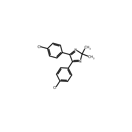 CC1(C)N=C(c2ccc(Cl)cc2)C(c2ccc(Cl)cc2)=N1